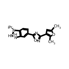 Cc1cc(-c2noc(-c3ccc4c(c3)NNN4C(C)C)n2)c(C)o1